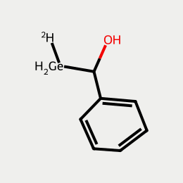 [2H][GeH2][CH](O)c1ccccc1